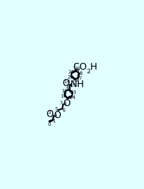 C=CC(=O)OCCCOc1ccc(C(=O)Nc2ccc(C(=O)O)cc2)cc1